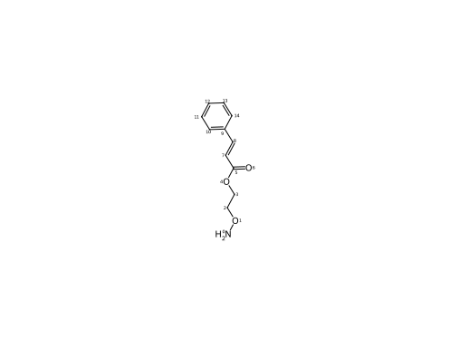 NOCCOC(=O)/C=C/c1ccccc1